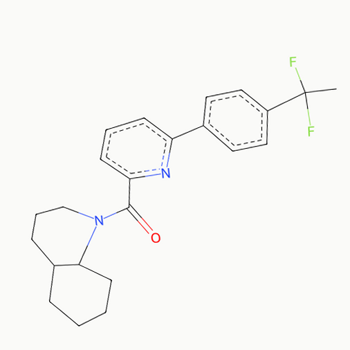 CC(F)(F)c1ccc(-c2cccc(C(=O)N3CCCC4CCCCC43)n2)cc1